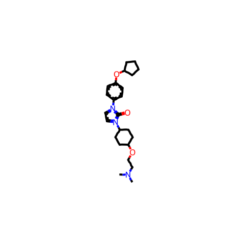 CN(C)CCOC1CCC(n2ccn(-c3ccc(OC4CCCC4)cc3)c2=O)CC1